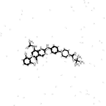 CC(=O)Nc1cn(-c2c(Cl)cccc2Cl)c(=O)c2cnc(Nc3ccc(N4CCN(C(=O)OC(C)(C)C)CC4)cc3)nc12